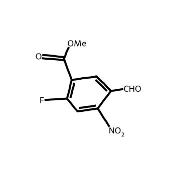 COC(=O)c1cc(C=O)c([N+](=O)[O-])cc1F